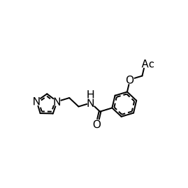 CC(=O)COc1cccc(C(=O)NCCn2ccnc2)c1